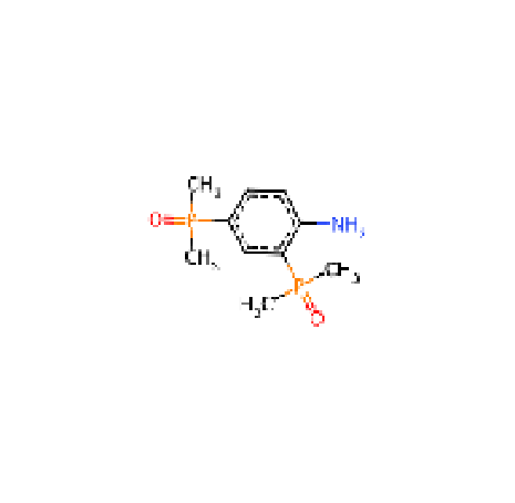 CP(C)(=O)c1ccc(N)c(P(C)(C)=O)c1